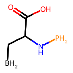 BCC(NP)C(=O)O